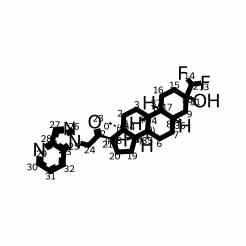 C[C@]12CC[C@H]3[C@@H](CC[C@@H]4C[C@@](O)(C(F)F)CC[C@@H]43)[C@@H]1CC[C@H]2C(=O)Cn1ncc2ncccc21